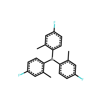 Cc1cc(F)ccc1B(c1ccc(F)cc1C)c1ccc(F)cc1C